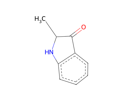 CC1Nc2ccccc2C1=O